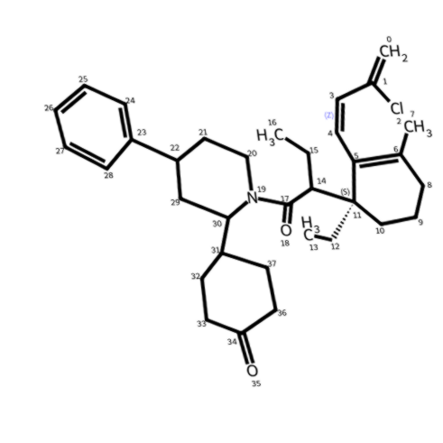 C=C(Cl)/C=C\C1=C(C)CCC[C@@]1(CC)C(CC)C(=O)N1CCC(c2ccccc2)CC1C1CCC(=O)CC1